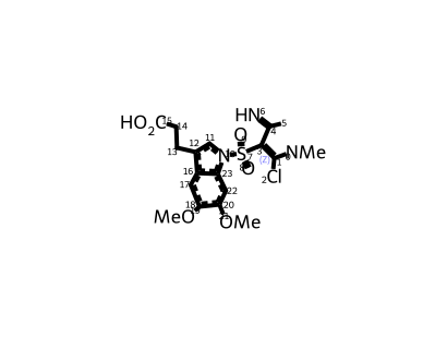 CN/C(Cl)=C(\C(C)=N)S(=O)(=O)n1cc(CCC(=O)O)c2cc(OC)c(OC)cc21